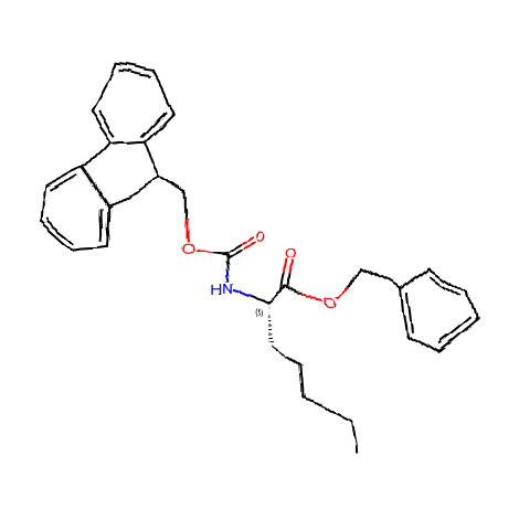 CCCCC[C@H](NC(=O)OCC1c2ccccc2-c2ccccc21)C(=O)OCc1ccccc1